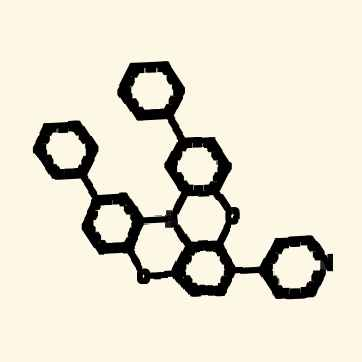 c1ccc(-c2ccc3c(c2)B2c4cc(-c5ccccc5)ccc4Oc4c(-c5ccncc5)ccc(c42)O3)cc1